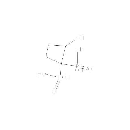 O=P(O)(O)C1(P(=O)(O)O)CCC1O